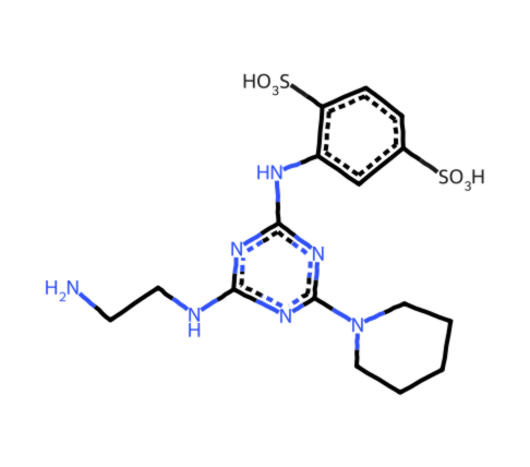 NCCNc1nc(Nc2cc(S(=O)(=O)O)ccc2S(=O)(=O)O)nc(N2CCCCC2)n1